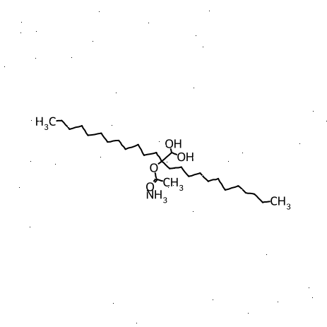 CCCCCCCCCCCCC(CCCCCCCCCCCC)(OC(C)=O)C(O)O.N